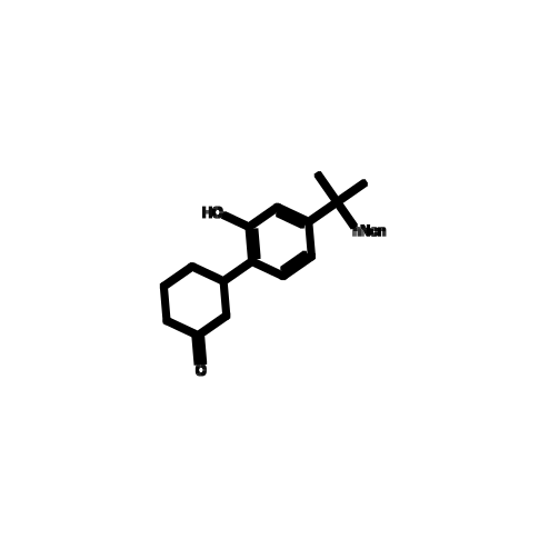 CCCCCCCCCC(C)(C)c1ccc(C2CCCC(=O)C2)c(O)c1